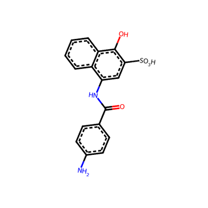 Nc1ccc(C(=O)Nc2cc(S(=O)(=O)O)c(O)c3ccccc23)cc1